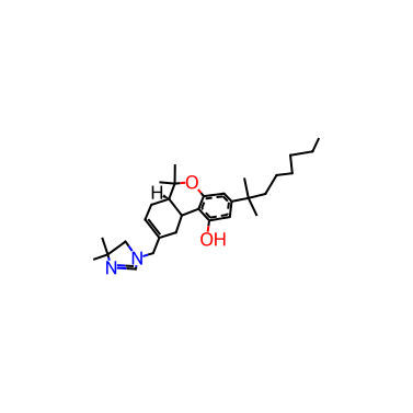 CCCCCCC(C)(C)c1cc(O)c2c(c1)OC(C)(C)[C@H]1CC=C(CN3C=NC(C)(C)C3)CC21